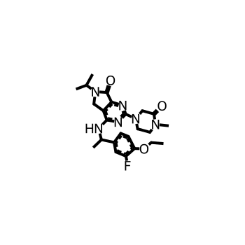 CCOc1ccc(C(C)Nc2nc(N3CCN(C)C(=O)C3)nc3c2CN(C(C)C)C3=O)cc1F